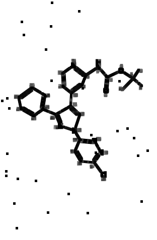 CC(C)(C)OC(=O)Nc1cc(-c2cn(-c3ccc(Cl)nn3)nc2-c2ccccc2)ccn1